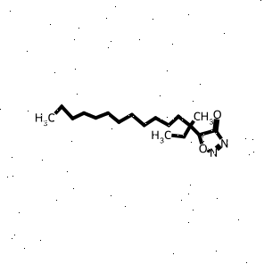 CCCCCCCCCCCCC(C)(CC)C1ON=NC1=O